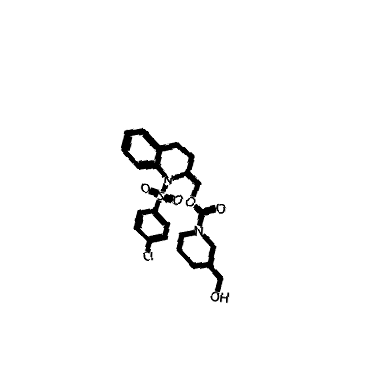 O=C(OCC1CCc2ccccc2N1S(=O)(=O)c1ccc(Cl)cc1)N1CCCC(CO)C1